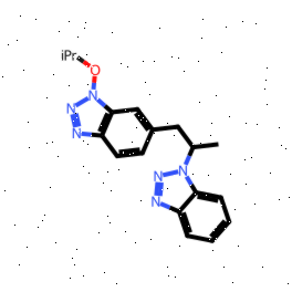 CC(C)On1nnc2ccc(CC(C)n3nnc4ccccc43)cc21